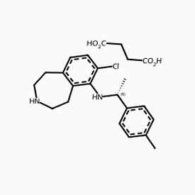 Cc1ccc([C@@H](C)Nc2c(Cl)ccc3c2CCNCC3)cc1.O=C(O)CCC(=O)O